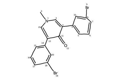 Cn1cc(-c2cccc(Br)c2)c(=O)c(-c2cccc(Br)c2)c1